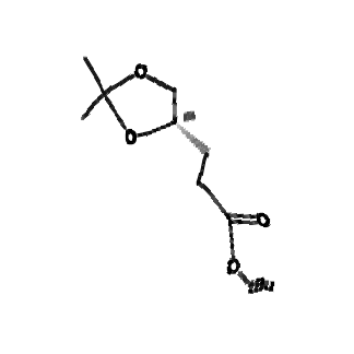 CC(C)(C)OC(=O)CC[C@H]1COC(C)(C)O1